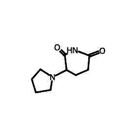 O=C1CCC(N2CCCC2)C(=O)N1